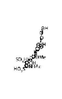 COc1cc(N=Nc2c(S(=O)(=O)O)cc3cc(S(=O)(=O)O)cc(NC(C)=O)c3c2O)c(C)cc1N=Nc1ccc(S(=O)(=O)NCCCOCCOCCO)cc1